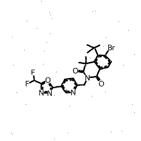 CC(C)(C)c1c(Br)ccc2c1C(C)(C)C(=O)N(Cc1ccc(-c3nnc(C(F)F)o3)cn1)C2=O